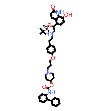 CC(C)(C)[Si](C)(C)OC(CNCCc1ccc(OCCCN2CCC(OC(=O)Nc3ccccc3-c3ccccc3)CC2)cc1)c1ccc(O)c2[nH]c(=O)ccc12